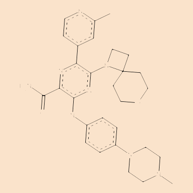 Cc1cc(-c2nc(C(N)=O)c(Nc3ccc(N4CCN(C)CC4)cc3)nc2N2CCC23CCOCC3)ccn1